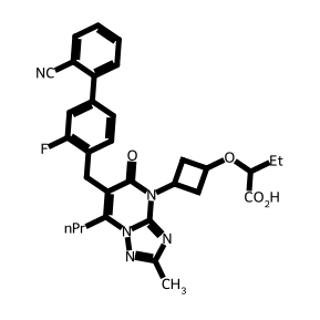 CCCc1c(Cc2ccc(-c3ccccc3C#N)cc2F)c(=O)n(C2CC(OC(CC)C(=O)O)C2)c2nc(C)nn12